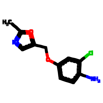 Cc1ncc(COc2ccc(N)c(Cl)c2)o1